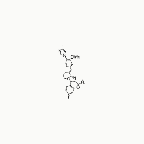 COc1cc(/C=C2\CCCn3c2nc(C(=O)N(C)C)c3-c2ccc(F)cc2)ccc1-n1cnc(C)c1